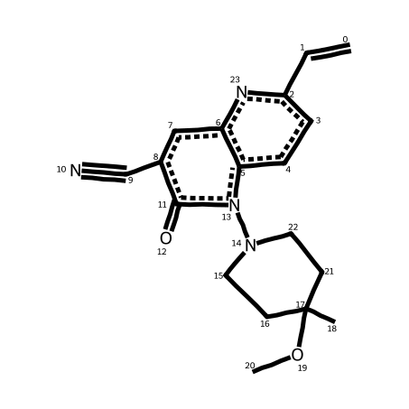 C=Cc1ccc2c(cc(C#N)c(=O)n2N2CCC(C)(OC)CC2)n1